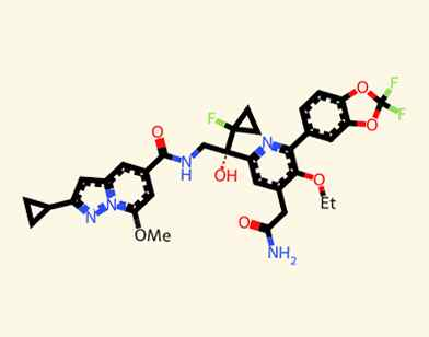 CCOc1c(CC(N)=O)cc([C@@](O)(CNC(=O)c2cc(OC)n3nc(C4CC4)cc3c2)C2(F)CC2)nc1-c1ccc2c(c1)OC(F)(F)O2